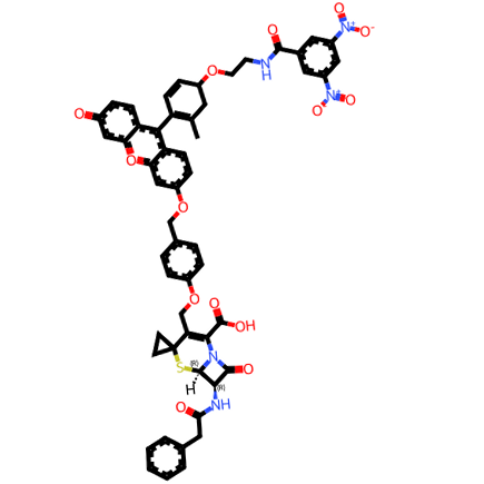 CC1=C(c2c3ccc(=O)cc-3oc3cc(OCc4ccc(OCC5=C(C(=O)O)N6C(=O)[C@@H](NC(=O)Cc7ccccc7)[C@H]6SC56CC6)cc4)ccc23)C=CC(OCCNC(=O)c2cc([N+](=O)[O-])cc([N+](=O)[O-])c2)C1